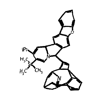 CC(C)C1=CC2c3cc4c(cc3C(C3=CC56c7cc8cc(c75)C5=NC(=CC(C5)C8)C36)N2C=C1[Si](C)(C)C)oc1ccccc14